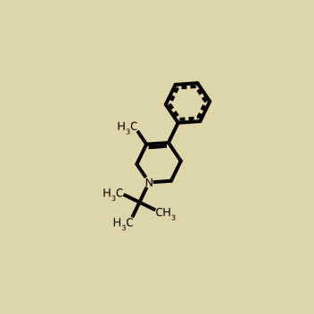 CC1=C(c2ccccc2)CCN(C(C)(C)C)C1